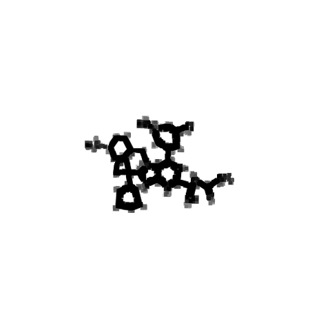 C[C@H]1CC[C@H](Cn2c(C3(c4ccccc4)CCC3)nc3nc(C(=N)OC(N)=O)nc(-c4cc(Cl)c[n+](O)c4)c32)CC1